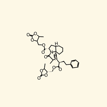 CC(N[C@@H](CCc1ccccc1)C(=O)OC[C@@H]1OC(=O)OC1C)C(=O)N1[C@H](C(=O)OCC2OC(=O)OC2C)C[C@H]2CCCC[C@@H]21